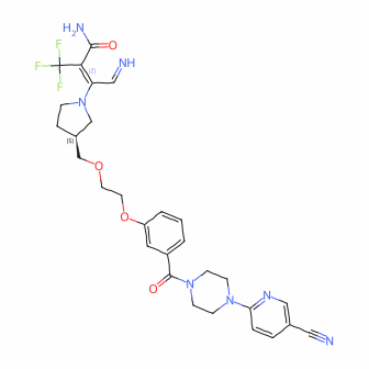 N#Cc1ccc(N2CCN(C(=O)c3cccc(OCCOC[C@H]4CCN(/C(C=N)=C(/C(N)=O)C(F)(F)F)C4)c3)CC2)nc1